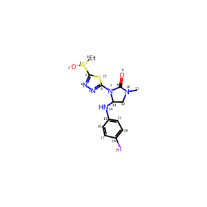 CC[S+]([O-])c1nnc(N2C(=O)N(C)CC2Nc2ccc(I)cc2)s1